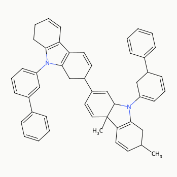 CC1C=CC2=C(C1)N(C1=CC=CC(c3ccccc3)C1)C1C=C(C3C=Cc4c5c(n(-c6cccc(-c7ccccc7)c6)c4C3)CCC=C5)C=CC21C